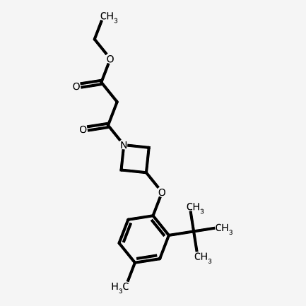 CCOC(=O)CC(=O)N1CC(Oc2ccc(C)cc2C(C)(C)C)C1